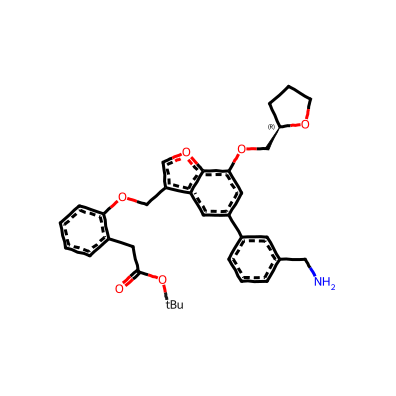 CC(C)(C)OC(=O)Cc1ccccc1OCc1coc2c(OC[C@H]3CCCO3)cc(-c3cccc(CN)c3)cc12